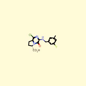 Cc1cc(F)cc(CNc2nc(Cl)c3n(c2=O)[C@H](C(=O)O)CC3)c1